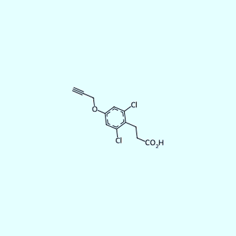 C#CCOc1cc(Cl)c(CCC(=O)O)c(Cl)c1